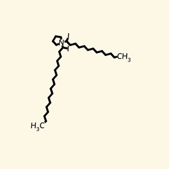 CCCCCCCCCCCCCCCCCC(I)[N+]1(C(I)CCCCCCCCCCCC)CCCC1